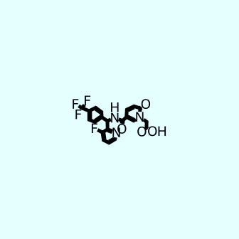 O=C(O)Cn1cc(C(=O)NC(c2ccc(C(F)(F)F)cc2)c2ncccc2F)ccc1=O